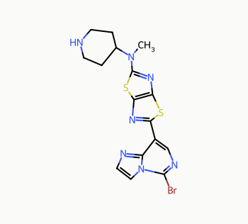 CN(c1nc2sc(-c3cnc(Br)n4ccnc34)nc2s1)C1CCNCC1